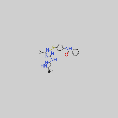 CC(C)c1cc(Nc2nc(Sc3ccc(NC(=O)c4ccccc4)cc3)nc(C3CC3)n2)n[nH]1